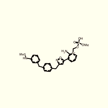 COP(=O)(O)OC[n+]1cccc(-c2cc(Cc3ccc(Cc4cccc(NSC)c4)cc3)no2)c1N